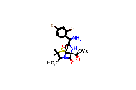 COC(=O)[C@]1(NC(=O)C(N)c2ccc(Br)cc2Br)C(=O)N2[C@@H](C(=O)O)C(C)(C)S[C@@H]21